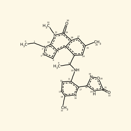 CCn1ncc2c3c(C(C)Nc4ccc(C)nc4-c4noc(=O)[nH]4)cc(C)cc3c(=O)n(C)c21